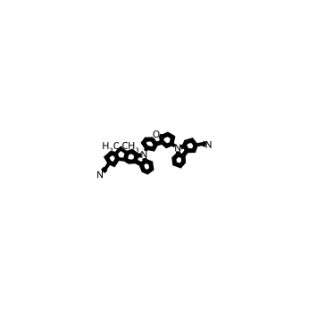 CC1(C)c2ccc(C#N)cc2-c2cc3c4ccccc4n(-c4ccc5oc6ccc(-n7c8ccccc8c8cc(C#N)ccc87)cc6c5c4)c3cc21